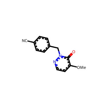 COc1ccnn(Cc2ccc(C#N)cc2)c1=O